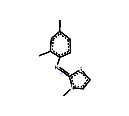 Cc1ccc(/N=c2\sccn2C)c(C)c1